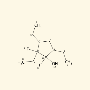 CCC1CC(CC)C(F)(CC)C1(O)F